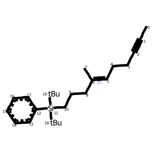 CC#CCC/C=C(\C)CCC[Si](c1ccccc1)(C(C)(C)C)C(C)(C)C